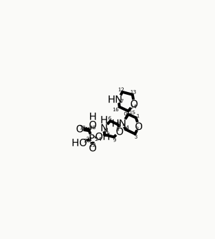 C1COCCN1.C1COCCN1.C1COCCN1.O=C(O)P(=O)(O)O